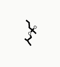 CCCC(C)([O])OCC(C)C